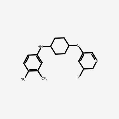 N#Cc1ccc(NC2CCC(OC3=CC(Br)CN=C3)CC2)cc1C(F)(F)F